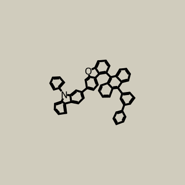 c1ccc(-c2cccc(-c3c4ccccc4c(-c4cccc5oc6cc(-c7ccc8c9ccccc9n(-c9ccccc9)c8c7)ccc6c45)c4ccccc34)c2)cc1